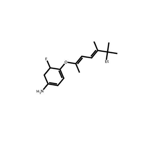 CCC(C)(C)/C(C)=C/C=C(\C)OC1=CC=C(N)CC1F